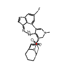 CN1C=C2C(=C(C3=CC4CCCC(C3)N4S(C)(=O)=O)C1)NN=C1C=Cc3cc(F)cc2c31